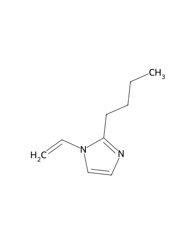 C=Cn1ccnc1CCCC